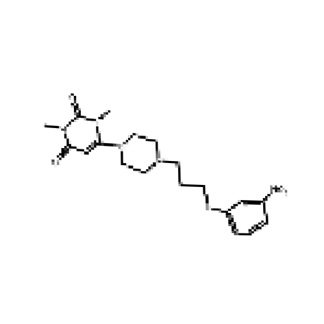 Cn1c(N2CCN(CCCOc3cccc([N+](=O)[O-])c3)CC2)cc(=O)n(C)c1=O